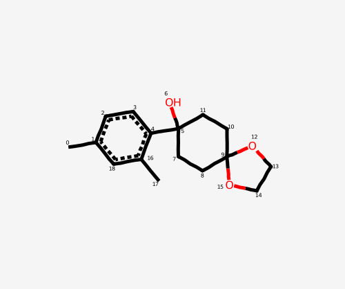 Cc1ccc(C2(O)CCC3(CC2)OCCO3)c(C)c1